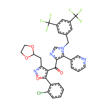 O=C(c1ncn(Cc2cc(C(F)(F)F)cc(C(F)(F)F)c2)c1-c1cccnc1)c1c(CC2OCCO2)noc1-c1ccccc1Cl